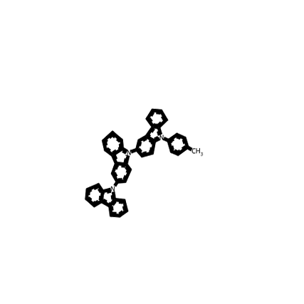 Cc1ccc(-n2c3ccccc3c3cc(-n4c5ccccc5c5cc(-n6c7ccccc7c7ccccc76)ccc54)ccc32)cc1